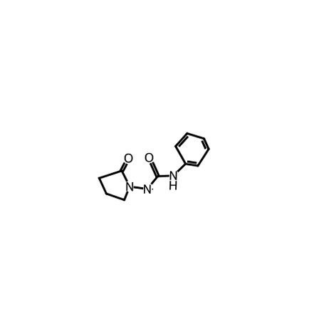 O=C([N]N1CCCC1=O)Nc1ccccc1